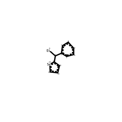 CCC(c1ccccc1)c1ccc[se]1